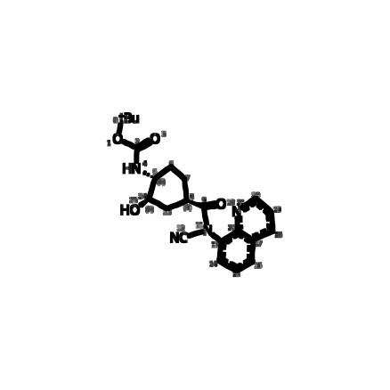 CC(C)(C)OC(=O)N[C@@H]1CC[C@@H](C(=O)N(C#N)c2cccc3cccnc23)C[C@H]1O